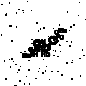 CC(C)(C)NC(=O)Nc1cccc2nn3c(C4CCN(C(=O)OC(C)(C)C)CC4)cc(=O)[nH]c3c12